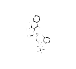 COC(=S)/C(=C(/C)c1ccccc1)N1C(=O)[C@H]([C@@H](C)O[Si](C)(C)C(C)(C)C)[C@H]1Sc1ccccc1